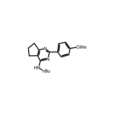 CCCCNc1nc(-c2ccc(OC)cc2)nc2c1CCC2